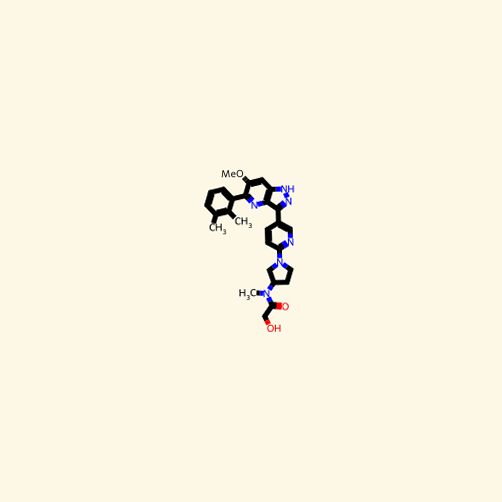 COc1cc2[nH]nc(-c3ccc(N4CCC(N(C)C(=O)CO)C4)nc3)c2nc1-c1cccc(C)c1C